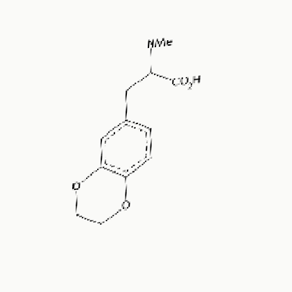 CNC(Cc1ccc2c(c1)OCCO2)C(=O)O